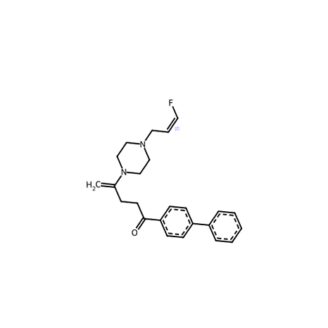 C=C(CCC(=O)c1ccc(-c2ccccc2)cc1)N1CCN(C/C=C\F)CC1